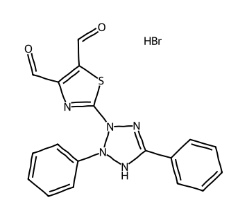 Br.O=Cc1nc(N2N=C(c3ccccc3)NN2c2ccccc2)sc1C=O